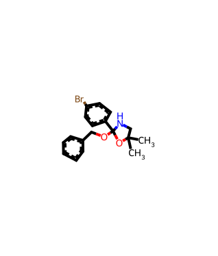 CC1(C)CNC(OCc2ccccc2)(c2ccc(Br)cc2)O1